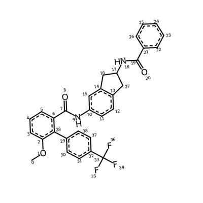 COc1cccc(C(=O)Nc2ccc3c(c2)CC(NC(=O)c2ccccc2)C3)c1-c1ccc(C(F)(F)F)cc1